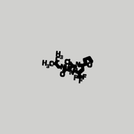 CC(C)CNC(=O)c1nn2c(C(F)(F)F)cc(-c3ccco3)nc2c1Cl